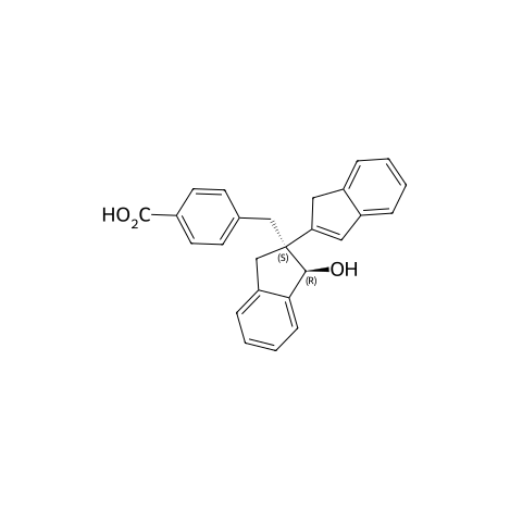 O=C(O)c1ccc(C[C@@]2(C3=Cc4ccccc4C3)Cc3ccccc3[C@@H]2O)cc1